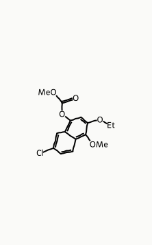 CCOc1cc(OC(=O)OC)c2cc(Cl)ccc2c1OC